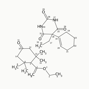 C=C(OCC)C1C(C)(C)CC(=O)CC1(C)C.CCC1(C2=CCCCC2)C(=O)NC(=O)NC1=O